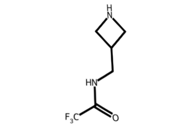 O=C(NCC1CNC1)C(F)(F)F